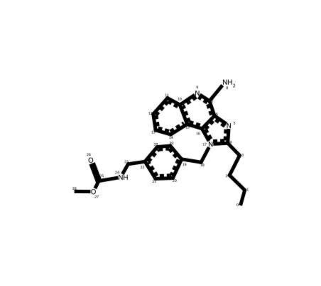 CCCCc1nc2c(N)nc3ccccc3c2n1Cc1ccc(CNC(=O)OC)cc1